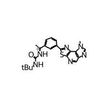 C[C@H](NC(=O)NC(C)(C)C)c1cccc(-c2nc3c(ncc4ncn(C)c43)s2)c1